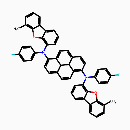 Cc1cccc2c1oc1c(N(C3=CC=C4C=CC5=C(N(c6ccc(F)cc6)c6cccc7c6oc6c(C)cccc67)C=CC6=CC=C3C4C65)c3ccc(F)cc3)cccc12